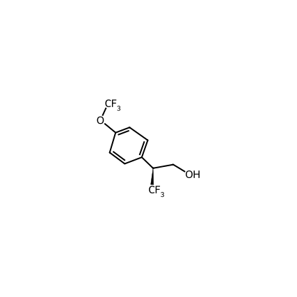 OC[C@H](c1ccc(OC(F)(F)F)cc1)C(F)(F)F